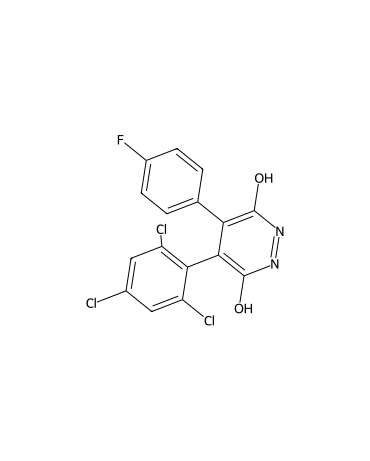 Oc1nnc(O)c(-c2c(Cl)cc(Cl)cc2Cl)c1-c1ccc(F)cc1